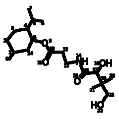 CC1CCC(C(C)C)C(OC(=O)CCNC(=O)C(O)C(C)(C)CO)C1